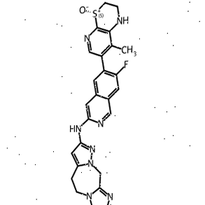 Cc1c(-c2cc3cc(Nc4cc5n(n4)Cc4nccn4CC5)ncc3cc2F)cnc2c1NCC[S@@+]2[O-]